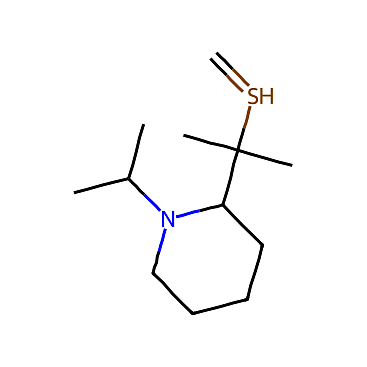 C=[SH]C(C)(C)C1CCCCN1C(C)C